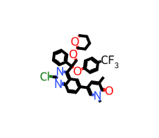 Cc1cc(-c2ccc3nc(Cl)nc(C(COC4CCCCO4)(Oc4ccc(C(F)(F)F)cc4)c4ccccc4)c3c2)cn(C)c1=O